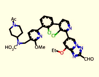 CCOc1cc(-c2nccc(-c3cccc(-c4ccc(CN(C(=O)O)C5CCN(C(C)=O)CC5)c(OC)n4)c3Cl)c2Cl)cn2nc(C=O)nc12